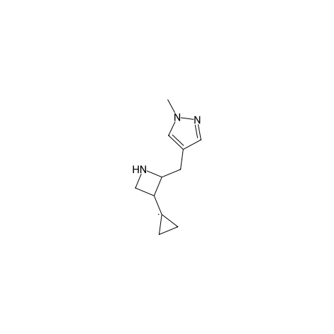 Cn1cc(CC2NCC2[C]2CC2)cn1